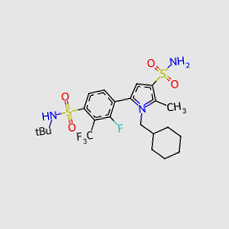 Cc1c(S(N)(=O)=O)cc(-c2ccc(S(=O)(=O)NC(C)(C)C)c(C(F)(F)F)c2F)n1CC1CCCCC1